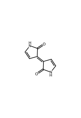 O=C1NC=CC1=C1C=CNC1=O